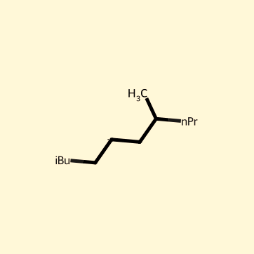 CCCC(C)C[CH]CC(C)CC